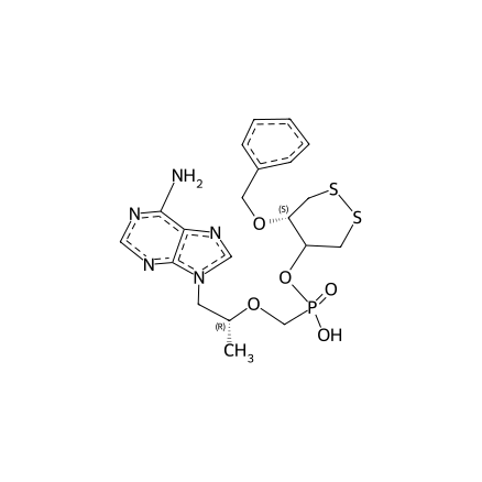 C[C@H](Cn1cnc2c(N)ncnc21)OCP(=O)(O)OC1CSSC[C@H]1OCc1ccccc1